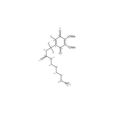 COC1=C(OC)C(=O)C(C(C)(C)CC(=O)OCCCCO[N+](=O)[O-])=C(C)C1=O